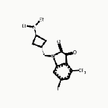 CCN(CC)[C@H]1C[C@H](CN2C(=O)C(=O)c3c2cc(I)cc3C(F)(F)F)C1